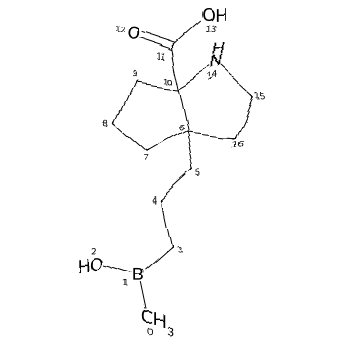 CB(O)CCCC12CCCC1(C(=O)O)NCC2